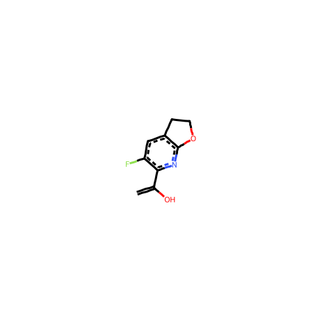 C=C(O)c1nc2c(cc1F)CCO2